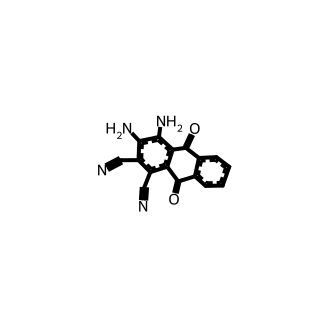 N#Cc1c(N)c(N)c2c(c1C#N)C(=O)c1ccccc1C2=O